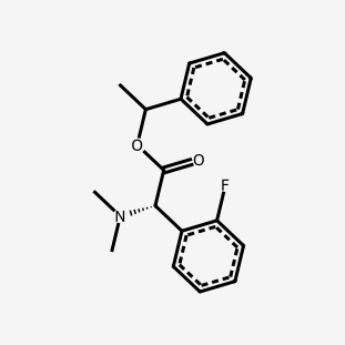 CC(OC(=O)[C@H](c1ccccc1F)N(C)C)c1ccccc1